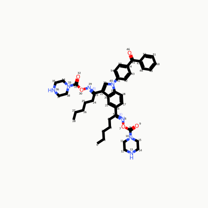 CCCCC/C(=N\OC(=O)N1CCNCC1)c1ccc2c(c1)c(/C(CCCCC)=N/OC(=O)N1CCNCC1)cn2-c1ccc(C(=O)c2ccccc2)cc1